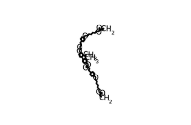 C=CC(=O)OCCCCCCOc1ccc(C=COCOc2ccc3c(c2)C(C)(C)c2cc(OC(=O)C=Cc4ccc(OCCCCCCOC(=O)C=C)cc4)ccc2-3)cc1